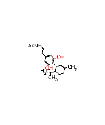 C=C(C)[C@@H]1CCC(C)=C[C@H]1c1c(O)cc(CCNC(C)=O)cc1O